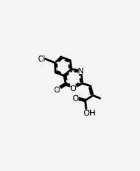 C/C(=C/c1nc2ccc(Cl)cc2c(=O)o1)C(=O)O